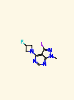 Cn1nc(I)c2c(N3CC(F)C3)ncnc21